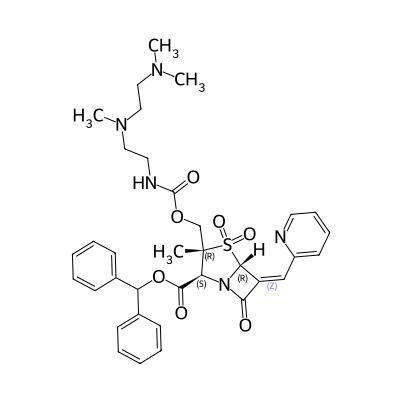 CN(C)CCN(C)CCNC(=O)OC[C@@]1(C)[C@H](C(=O)OC(c2ccccc2)c2ccccc2)N2C(=O)/C(=C/c3ccccn3)[C@H]2S1(=O)=O